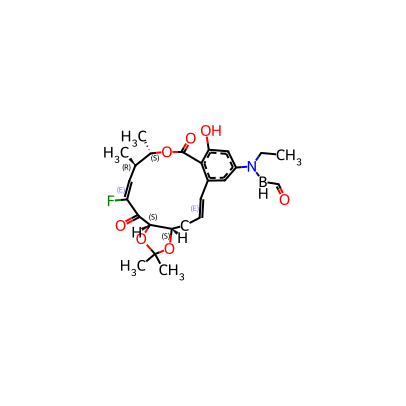 CCN(BC=O)c1cc(O)c2c(c1)/C=C/C[C@@H]1OC(C)(C)O[C@@H]1C(=O)/C(F)=C\[C@@H](C)[C@H](C)OC2=O